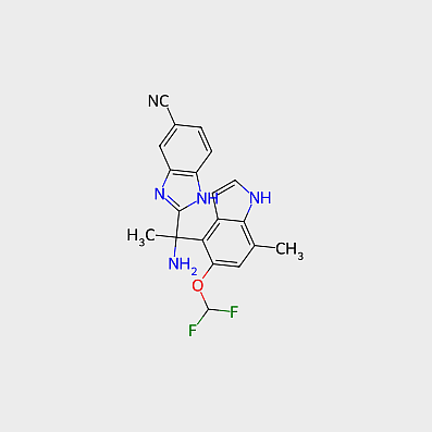 Cc1cc(OC(F)F)c(C(C)(N)c2nc3cc(C#N)ccc3[nH]2)c2cc[nH]c12